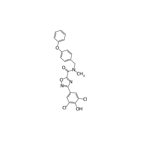 CN(Cc1ccc(Oc2ccccc2)cc1)C(=O)c1nc(-c2cc(Cl)c(O)c(Cl)c2)no1